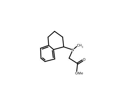 COC(=O)CN(C)C1CCCc2ccccc21